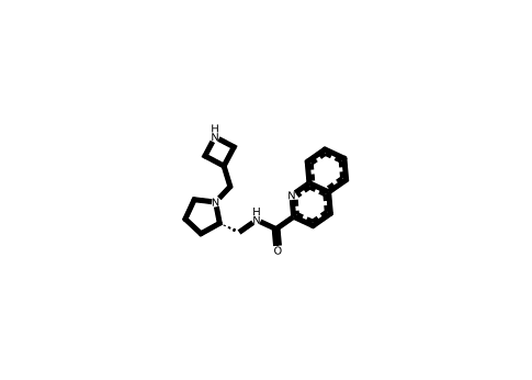 O=C(NC[C@@H]1CCCN1CC1CNC1)c1ccc2ccccc2n1